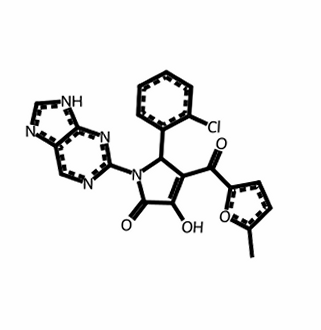 Cc1ccc(C(=O)C2=C(O)C(=O)N(c3ncc4nc[nH]c4n3)C2c2ccccc2Cl)o1